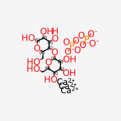 O=P([O-])([O-])[O-].O=P([O-])([O-])[O-].OC[C@H]1O[C@@H](O[C@H]2[C@H](O)[C@@H](O)[C@@H](O)O[C@@H]2CO)[C@H](O)[C@@H](O)[C@H]1O.[Ca+2].[Ca+2].[Ca+2]